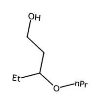 CCCOC(CC)CCO